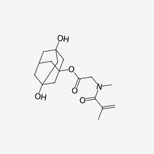 C=C(C)C(=O)N(C)CC(=O)OC12CC3CC(O)(CC(O)(C3)C1)C2